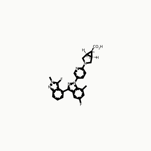 Cc1cc(F)cc2c(-c3cccc4nn(C)c(F)c34)nn(-c3ccc(N4C[C@@H]5[C@H](C4)[C@@H]5C(=O)O)nc3)c12